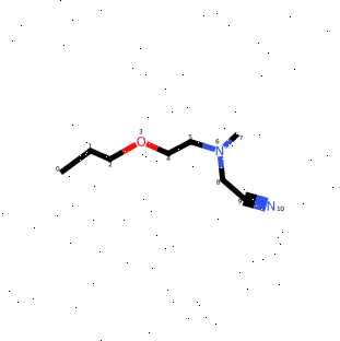 CCCOCCN(C)CC#N